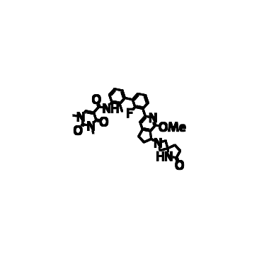 COc1nc(-c2cccc(-c3cccc(NC(=O)c4cn(C)c(=O)n(C)c4=O)c3C)c2F)cc2c1C(N1CC3(CCC(=O)N3)C1)CC2